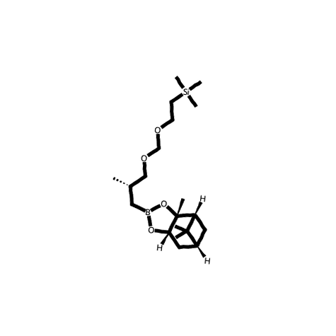 C[C@H](COCOCC[Si](C)(C)C)CB1O[C@H]2C[C@H]3C[C@H](C3(C)C)[C@@]2(C)O1